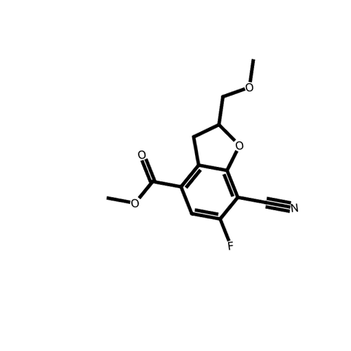 COCC1Cc2c(C(=O)OC)cc(F)c(C#N)c2O1